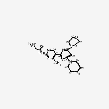 Cc1cc(NC(=O)CN)ncc1-c1nc(N2CCCCC2)cc(N2CCOCC2)n1